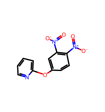 O=[N+]([O-])c1ccc(Oc2ccccn2)cc1[N+](=O)[O-]